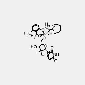 Cc1cccc(OP(=O)(N[C@@H](C)C2OCCCCO2)OC[C@H]2O[C@H](n3ccc(=O)[nH]c3=O)[C@](C)(F)[C@@H]2O)c1C